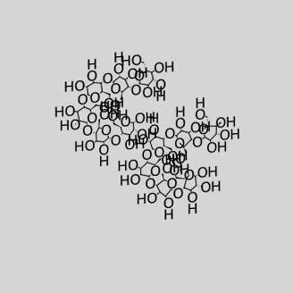 OC[C@H]1O[C@H](O[C@H]2[C@H](O)[C@@H](O)[C@@H](O[C@H]3[C@H](O)[C@@H](O)[C@@H](O[C@H]4[C@H](O)[C@@H](O)[C@@H](O[C@H]5[C@H](O)[C@@H](O)[C@@H](O[C@H]6[C@H](O)[C@@H](O)[C@@H](O)O[C@@H]6CO)O[C@@H]5CO)O[C@@H]4CO)O[C@@H]3CO)O[C@@H]2CO)[C@H](O)[C@@H](O)[C@@H]1O.OC[C@H]1O[C@H](O[C@H]2[C@H](O)[C@@H](O)[C@@H](O[C@H]3[C@H](O)[C@@H](O)[C@@H](O[C@H]4[C@H](O)[C@@H](O)[C@@H](O[C@H]5[C@H](O)[C@@H](O)[C@@H](O[C@H]6[C@H](O)[C@@H](O)[C@@H](O)O[C@@H]6CO)O[C@@H]5CO)O[C@@H]4CO)O[C@@H]3CO)O[C@@H]2CO)[C@H](O)[C@@H](O)[C@@H]1O